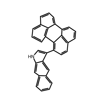 c1ccc2cc3c(-c4ccc5cccc6c7cccc8cccc(c4c56)c87)c[nH]c3cc2c1